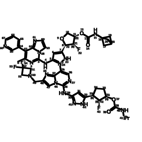 Cc1nc(Nc2cc([C@@H]3OC[C@H](OC(=O)NC45CC(C4)C5)[C@@H]3F)[nH][n+]2-c2cnc(Nc3cc([C@H]4CC[C@@H](OC(=O)NC(C)C)[C@@H]4F)[nH]n3)n3cc(CN4CC(F)(F)C4)nc23)n2ccnc2c1-c1cccnc1